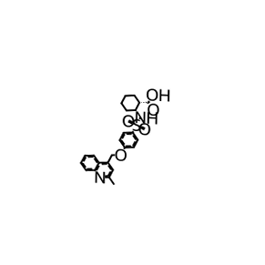 Cc1cc(COc2ccc(S(=O)(=O)N[C@@H]3CCCC[C@@H]3C(=O)O)cc2)c2ccccc2n1